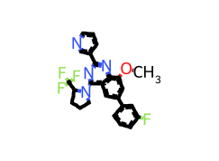 COc1cc(-c2cccc(F)c2)cc2c(N3CCCC3C(F)(F)F)nc(-c3cccnc3)nc12